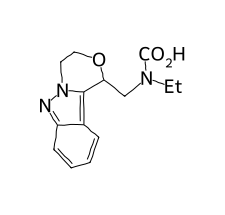 CCN(CC1OCCn2nc3ccccc3c21)C(=O)O